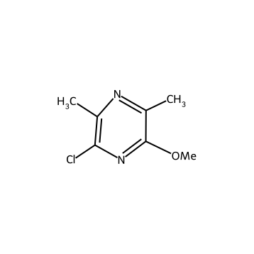 COc1nc(Cl)c(C)nc1C